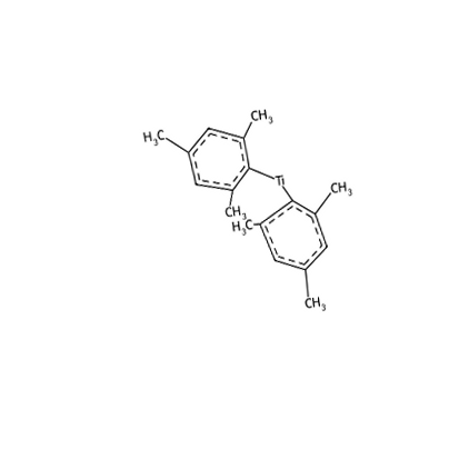 Cc1cc(C)[c]([Ti][c]2c(C)cc(C)cc2C)c(C)c1